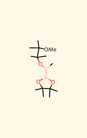 COC(C)(C)C(C)(C)OB(C)B1OC(C)(C)C(C)(C)O1